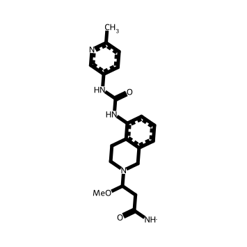 COC(CC([NH])=O)N1CCc2c(cccc2NC(=O)Nc2ccc(C)nc2)C1